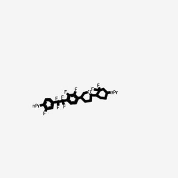 CCCc1ccc(C(F)(F)C(F)(F)c2ccc(C3CCC(C4CCC(CCC)CC4(F)F)OC3)c(F)c2F)cc1F